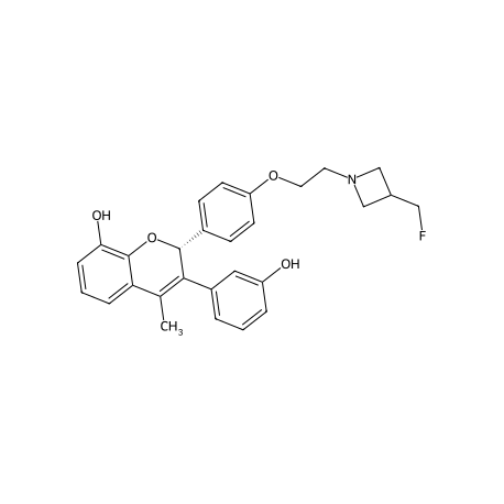 CC1=C(c2cccc(O)c2)[C@@H](c2ccc(OCCN3CC(CF)C3)cc2)Oc2c(O)cccc21